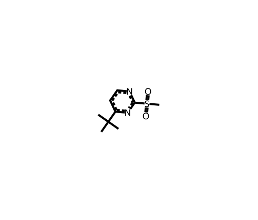 CC(C)(C)c1ccnc(S(C)(=O)=O)n1